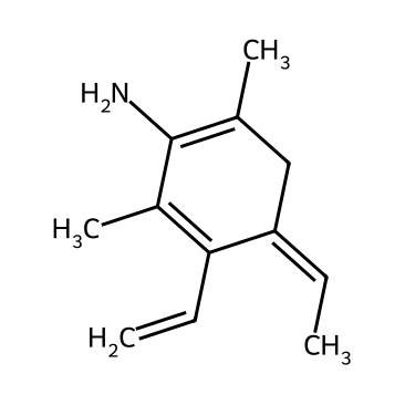 C=CC1=C(C)C(N)=C(C)C/C1=C/C